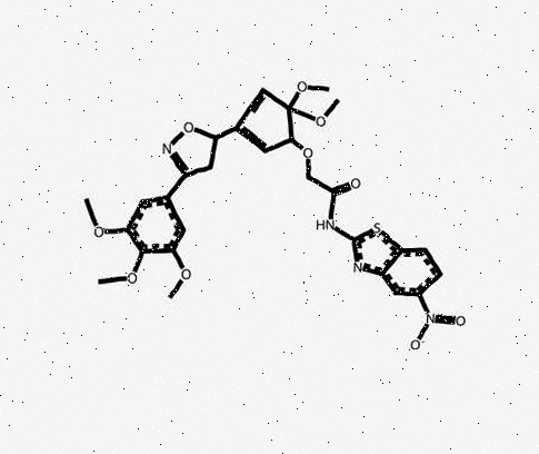 COc1cc(C2=NOC(C3=CC(OCC(=O)Nc4nc5cc([N+](=O)[O-])ccc5s4)C(OC)(OC)C=C3)C2)cc(OC)c1OC